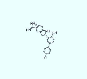 N=C(N)c1ccc2[nH]c(-c3cc(-c4ccc(Cl)cc4)ccc3O)cc2c1